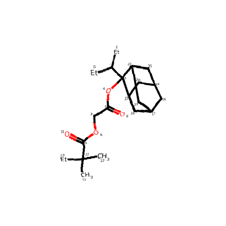 CCC(CC)C1(OC(=O)COC(=O)C(C)(C)CC)C2CC3CC(C2)CC1C3